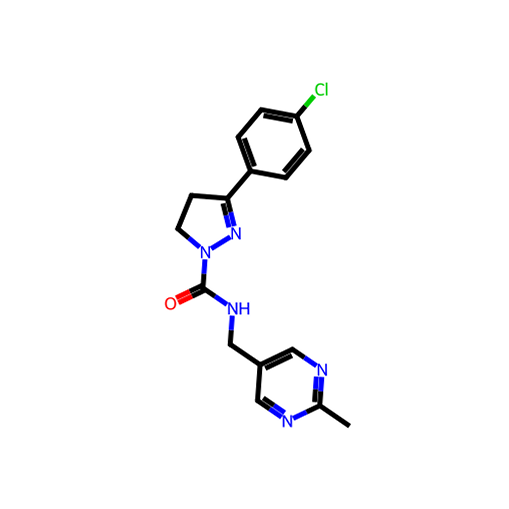 Cc1ncc(CNC(=O)N2CCC(c3ccc(Cl)cc3)=N2)cn1